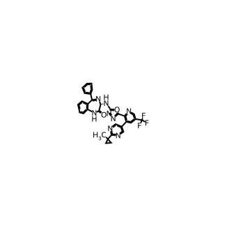 CC1(c2ncc(-c3cc(C(F)(F)F)cnc3-c3nnc(N[C@H]4N=C(c5ccccc5)c5ccccc5NC4=O)o3)cn2)CC1